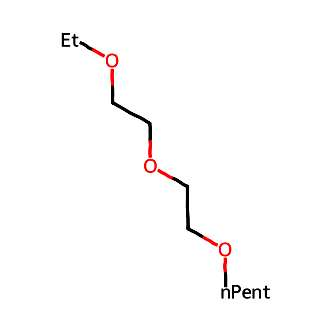 [CH2]COCCOCCOCCCCC